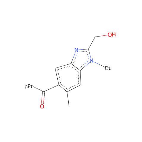 CCCC(=O)c1cc2nc(CO)n(CC)c2cc1C